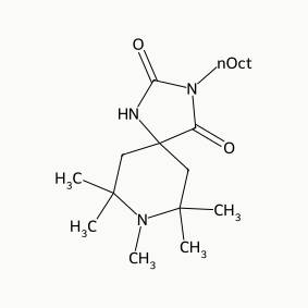 CCCCCCCCN1C(=O)NC2(CC(C)(C)N(C)C(C)(C)C2)C1=O